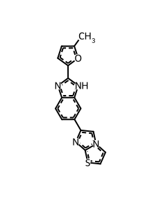 Cc1ccc(-c2nc3ccc(-c4cn5ccsc5n4)cc3[nH]2)o1